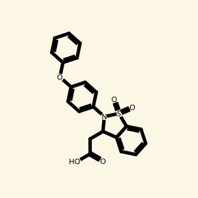 O=C(O)CC1c2ccccc2S(=O)(=O)N1c1ccc(Oc2ccccc2)cc1